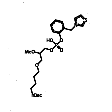 CCCCCCCCCCCCCCOCC(COP(=O)(O)Oc1ccccc1C[n+]1ccsc1)OC